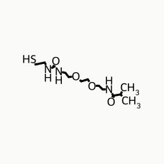 CC(C)C(=O)NCCOCCOCCNC(=O)NCCS